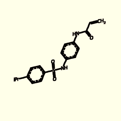 C=CC(=O)Nc1ccc(NS(=O)(=O)c2ccc(C(C)C)cc2)cc1